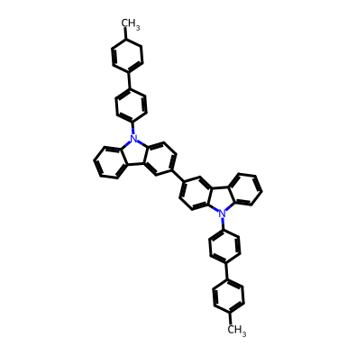 Cc1ccc(-c2ccc(-n3c4ccccc4c4cc(-c5ccc6c(c5)c5ccccc5n6-c5ccc(C6=CCC(C)C=C6)cc5)ccc43)cc2)cc1